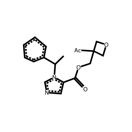 CC(=O)C1(COC(=O)c2cncn2C(C)c2ccccc2)COC1